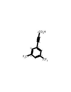 O=C(O)C#Cc1cc(C(F)(F)F)cc(C(F)(F)F)c1